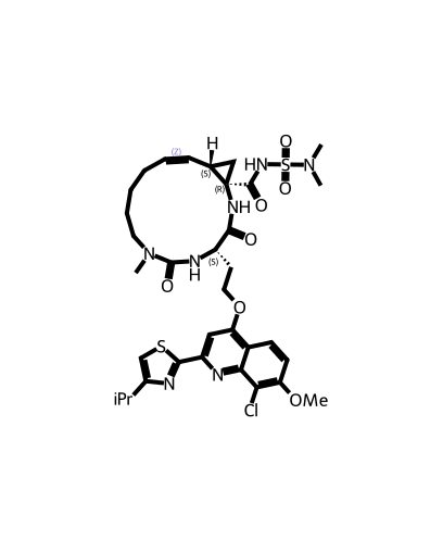 COc1ccc2c(OCC[C@@H]3NC(=O)N(C)CCCC/C=C\[C@@H]4C[C@@]4(C(=O)NS(=O)(=O)N(C)C)NC3=O)cc(-c3nc(C(C)C)cs3)nc2c1Cl